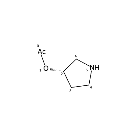 CC(=O)O[C@H]1CCNC1